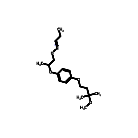 CC/C=N/OCC(C)Oc1ccc(OCCC(C)(C)OC)cc1